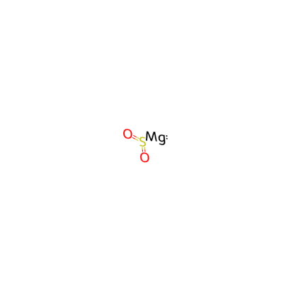 O=S=O.[Mg]